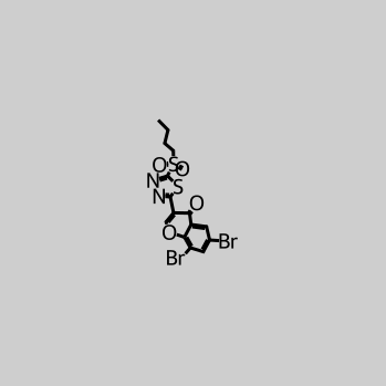 CCCCS(=O)(=O)c1nnc(-c2coc3c(Br)cc(Br)cc3c2=O)s1